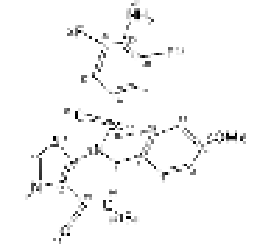 COc1ccc(CN(c2scnc2C(=O)OC(C)(C)C)S(=O)(=O)c2cc(F)c(N)c(F)c2)cc1